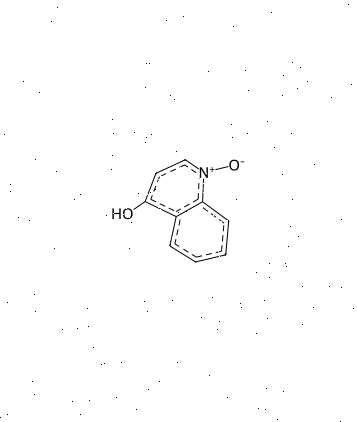 [O-][n+]1ccc(O)c2ccccc21